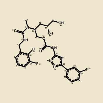 CN(C(=O)NCc1cccc(F)c1Cl)[C@H](COC(=O)Nc1cc(-c2cccc(F)c2)on1)C[C@@H](O)CO